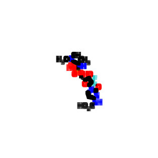 C[C@H](NP(=O)(O)OC[C@H]1O[C@@H](n2ccc(NC(=O)O)nc2=O)C(F)(F)[C@@H]1O)C(=O)N(C)C